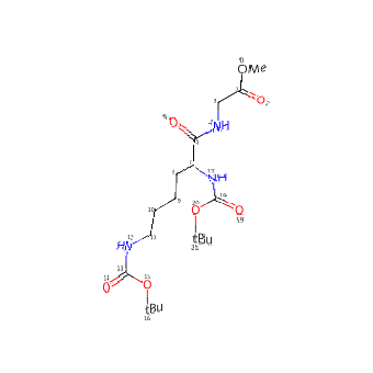 COC(=O)CNC(=O)C(CCCCNC(=O)OC(C)(C)C)NC(=O)OC(C)(C)C